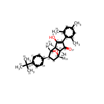 Cc1cc(C)c(C2=C(O)[C@@H]3[C@@H]4O[C@@H](C[C@H]4c4ccc(C(C)(C)C)cc4)[C@@H]3C2=O)c(C)c1